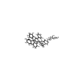 CC(C)(C)[Si](C)(C)OCc1cccc(C(OS(C)(=O)=O)c2ccccc2-c2cn(C(c3ccccc3)(c3ccccc3)c3ccccc3)cn2)c1